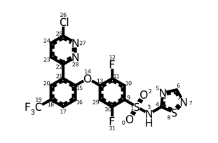 O=S(=O)(Nc1ncns1)c1cc(F)c(Oc2ccc(C(F)(F)F)cc2-c2ccc(Cl)nn2)cc1F